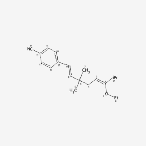 CCO/C(=C\CC(C)(C)/C=C/c1ccc(C#N)cc1)C(C)C